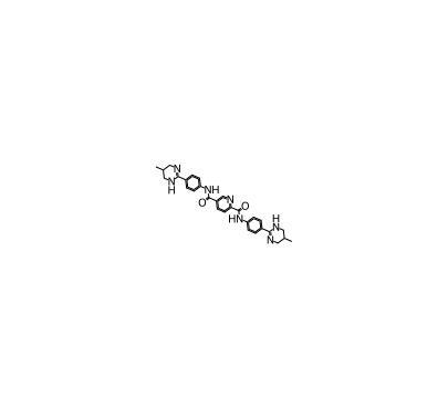 CC1CN=C(c2ccc(NC(=O)c3ccc(C(=O)Nc4ccc(C5=NCC(C)CN5)cc4)nc3)cc2)NC1